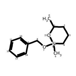 CC1CCC[Si](C)(OCc2ccccc2)O1